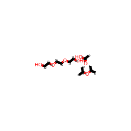 CC(=O)O.CC(C)OC(C)C.OCCOCCOCCO